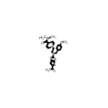 COc1ccc(CN(CCN2CCC(C(=O)N(C)C)CC2)c2nc3sc(C(C)=O)cc3s2)cc1